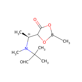 CB1OC(=O)C([C@H](C)N(C)C(C)(C)C=O)O1